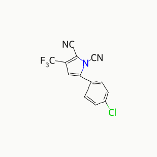 N#Cc1c(C(F)(F)F)cc(-c2ccc(Cl)cc2)n1C#N